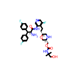 CC(C)(CO)NC(=O)OC[C@@H]1CO[C@H](CCc2c(F)cncc2NC(=O)[C@@H](N)C(c2ccc(F)cc2)c2ccc(F)cc2)CN1